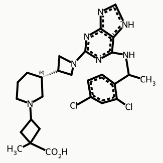 CC(Nc1nc(N2CC([C@H]3CCCN(C4CC(C)(C(=O)O)C4)C3)C2)nc2nc[nH]c12)c1ccc(Cl)cc1Cl